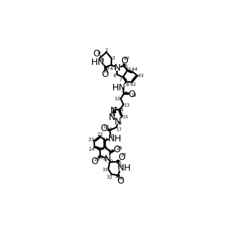 O=C1CCC(N2Cc3c(NC(=O)CCc4cn(CC(=O)Nc5cccc6c5C(=O)N(C5CCC(=O)NC5=O)C6=O)nn4)cccc3C2=O)C(=O)N1